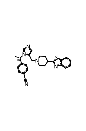 C[C@H](c1ccc(C#N)cc1)n1cncc1CN1CCC(c2nc3ccccc3s2)CC1